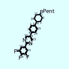 CCCCCC1CCC(c2ccc(-c3cnc(-c4cc(F)c(F)c(F)c4)nc3)cc2)CC1